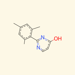 Cc1cc(C)c(-c2nccc(O)n2)c(C)c1